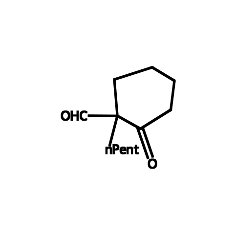 CCCCCC1(C=O)CCCCC1=O